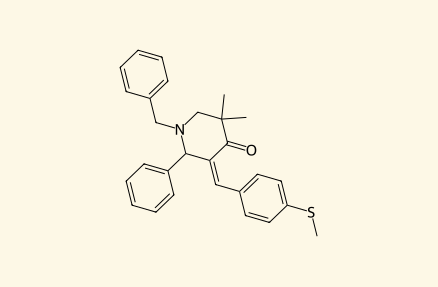 CSc1ccc(C=C2C(=O)C(C)(C)CN(Cc3ccccc3)C2c2ccccc2)cc1